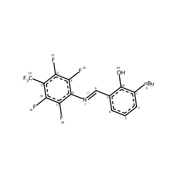 CCCCc1cccc(/C=N/c2c(F)c(F)c(C(F)(F)F)c(F)c2F)c1O